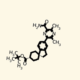 Cc1nc(C)c(-c2ccc3c(c2)CC[C@]32CC[C@@H](C(=O)OC(C)(C)C)CC2)nc1C(N)=O